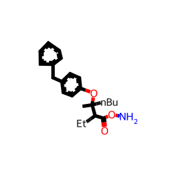 CCCCC(C)(Oc1ccc(Cc2ccccc2)cc1)C(CC)C(=O)ON